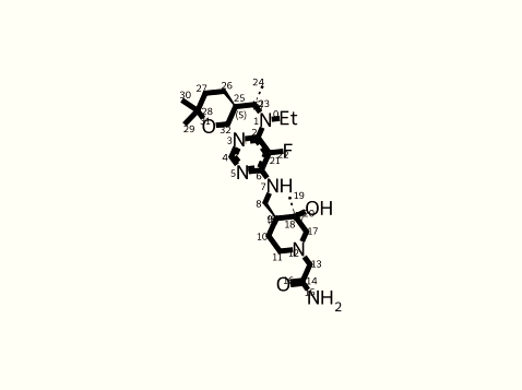 CCN(c1ncnc(NC[C@@H]2CCN(CC(N)=O)C[C@]2(C)O)c1F)[C@@H](C)[C@@H]1CCC(C)(C)OC1